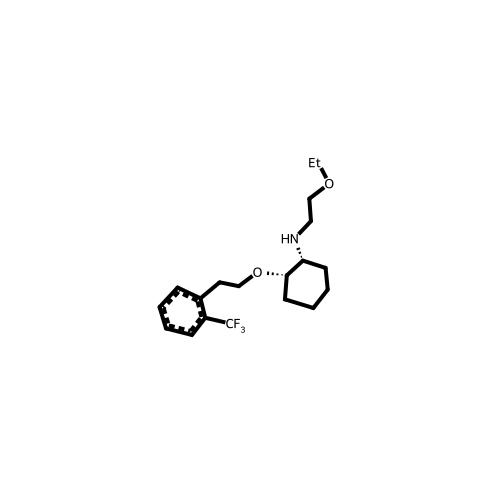 CCOCCN[C@@H]1CCCC[C@@H]1OCCc1ccccc1C(F)(F)F